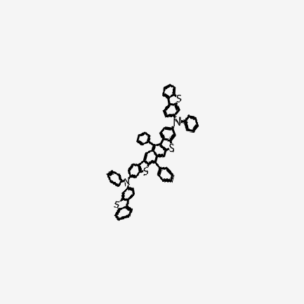 c1ccc(-c2c3cc4sc5cc(N(c6ccccc6)c6ccc7c(c6)sc6ccccc67)ccc5c4c(-c4ccccc4)c3cc3c2sc2cc(N(c4ccccc4)c4ccc5c(c4)sc4ccccc45)ccc23)cc1